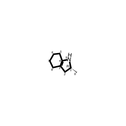 C[C@@H]1CC2=C(CCCC2)N1